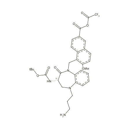 COc1ccc2cc(C(=O)OC(=O)C(F)(F)F)ccc2c1CN1C(=O)[C@@H](NC(=O)OC(C)(C)C)CN(CCCN)c2ccccc21